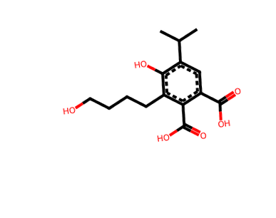 CC(C)c1cc(C(=O)O)c(C(=O)O)c(CCCCO)c1O